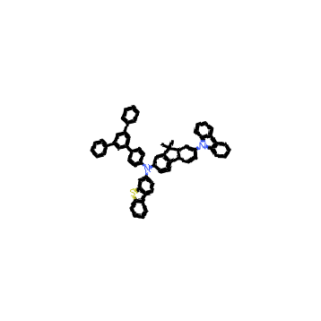 CC1(C)c2cc(N(c3ccc(-c4cc(-c5ccccc5)cc(-c5ccccc5)c4)cc3)c3ccc4c(c3)sc3ccccc34)ccc2C2C=CC(n3c4ccccc4c4ccccc43)=CC21